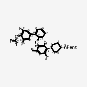 CCCCC[C@H]1CC[C@H](c2c(F)cc(C)c(Oc3ccccc3-c3cc(F)c(OC(F)F)c(F)c3)c2F)CC1